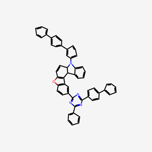 C1=CC2C(c3ccccc3N2c2cccc(-c3ccc(-c4ccccc4)cc3)c2)c2c1oc1ccc(-c3nc(-c4ccccc4)nc(-c4ccc(-c5ccccc5)cc4)n3)cc21